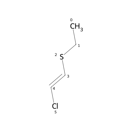 CCSC=CCl